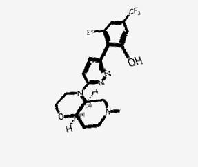 CCc1cc(C(F)(F)F)cc(O)c1-c1ccc(N2CCO[C@@H]3CCN(C)C[C@@H]32)nn1